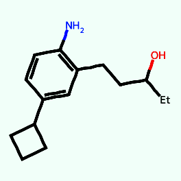 CCC(O)CCc1cc(C2CCC2)ccc1N